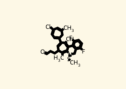 CSN1Cc2c(F)ccc(F)c2C2=C(C)C(C3=CC=C(Cl)C=C(C)C3)=CC(CCC=O)C(C)=C21